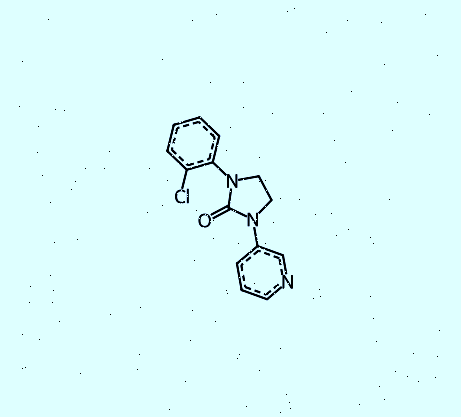 O=C1N(c2cccnc2)CCN1c1ccccc1Cl